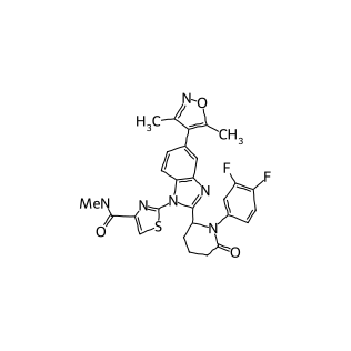 CNC(=O)c1csc(-n2c(C3CCCC(=O)N3c3ccc(F)c(F)c3)nc3cc(-c4c(C)noc4C)ccc32)n1